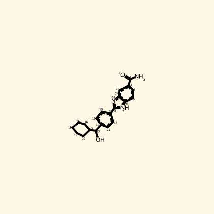 NC(=O)c1ccc2[nH]c(-c3ccc(C(O)C4CCCCC4)cc3)nc2c1